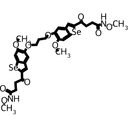 CONC(=O)CCC(=O)c1cc2cc(OCCCOc3cc4cc(C(=O)CCC(=O)NOC)[se]c4cc3OC)c(OC)cc2[se]1